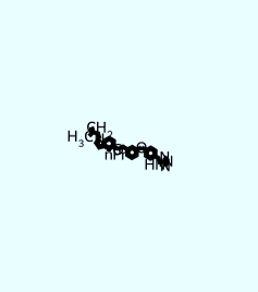 C=C(C)Cn1ccc2c(CCC)c(OCc3cccc(Oc4ccc(-c5nnn[nH]5)cc4)c3)ccc21